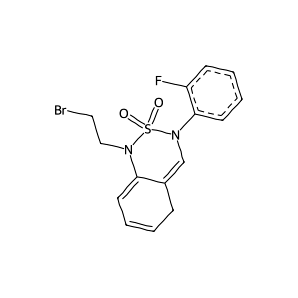 O=S1(=O)N(CCBr)C2=CC=CCC2=CN1c1ccccc1F